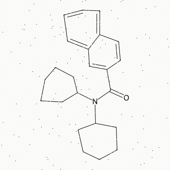 O=C(c1ccc2ccccc2c1)N(C1CCCCC1)C1CCCCC1